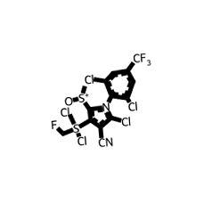 C[S+]([O-])c1c(S(Cl)(Cl)CF)c(C#N)c(Cl)n1-c1c(Cl)cc(C(F)(F)F)cc1Cl